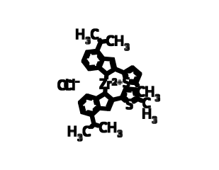 Cc1ccc(C2=Cc3c(C(C)C)cccc3[CH]2[Zr+2][CH]2C(c3ccc(C)s3)=Cc3c(C(C)C)cccc32)s1.[Cl-].[Cl-]